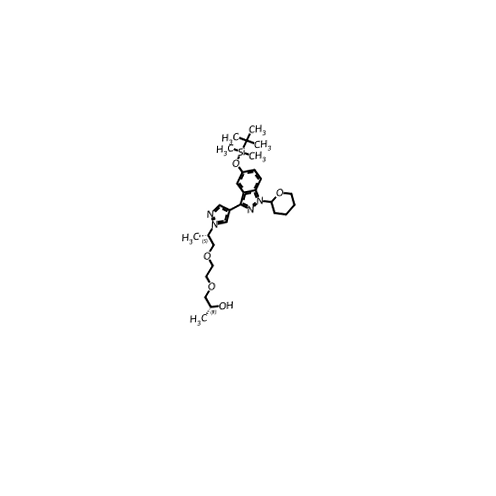 C[C@@H](O)COCCOC[C@H](C)n1cc(-c2nn(C3CCCCO3)c3ccc(O[Si](C)(C)C(C)(C)C)cc23)cn1